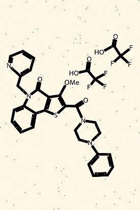 COc1c(C(=O)N2CCN(c3ccccc3)CC2)sc2c1c(=O)n(Cc1ccccn1)c1ccccc21.O=C(O)C(F)(F)F.O=C(O)C(F)(F)F